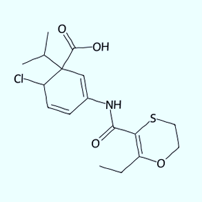 CCC1=C(C(=O)NC2=CC(C(=O)O)(C(C)C)C(Cl)C=C2)SCCO1